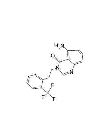 Nc1cccc2ncn(CCc3ccccc3C(F)(F)F)c(=O)c12